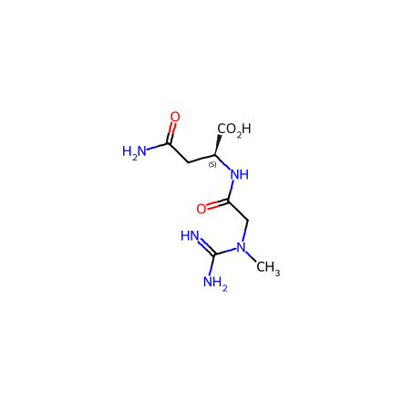 CN(CC(=O)N[C@@H](CC(N)=O)C(=O)O)C(=N)N